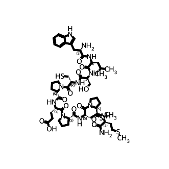 CSCC[C@H](NC(=O)[C@@H]1CCCN1C(=O)[C@H](CCSC)NC(=O)[C@@H]1CCCN1C(=O)[C@H](CCC(=O)O)NC(=O)[C@@H]1CCCN1C(=O)[C@H](CS)NC(=O)[C@H](CO)NC(=O)[C@H](CC(C)C)NC(=O)[C@@H](N)Cc1c[nH]c2ccccc12)C(N)=O